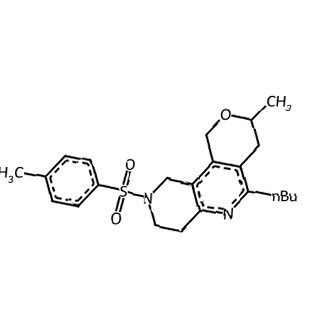 CCCCc1nc2c(c3c1CC(C)OC3)CN(S(=O)(=O)c1ccc(C)cc1)CC2